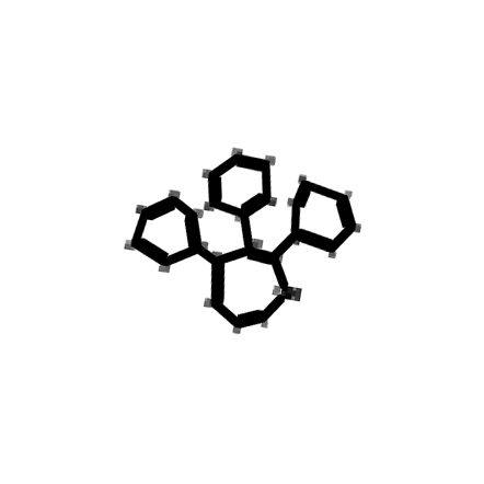 C1=CNC(c2ccccc2)=C(c2ccccc2)C(c2ccccc2)=C1